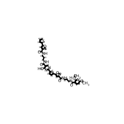 COc1ccc(C(=O)NCCCNC(=O)c2cc(-c3ccc(-c4ncc(C(=O)NCCCNC(=O)c5cc(-c6cccs6)on5)c(O)n4)s3)on2)c(OC)n1